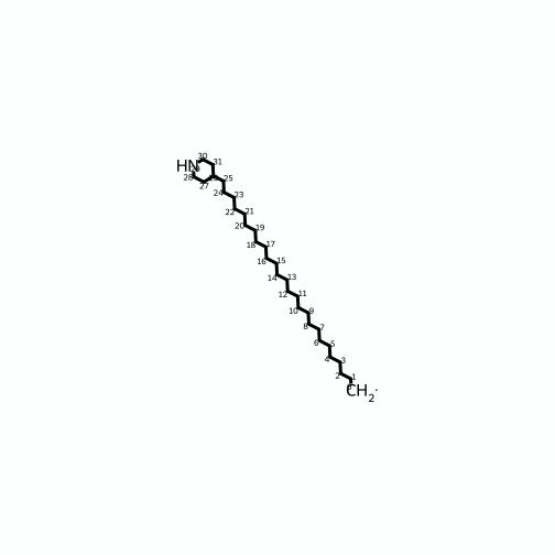 [CH2]CCCCCCCCCCCCCCCCCCCCCCCCCC1CCNCC1